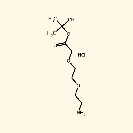 CC(C)(C)OC(=O)COCCOCCN.Cl